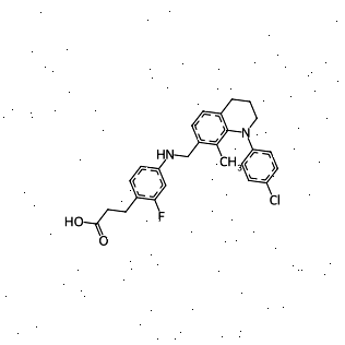 Cc1c(CNc2ccc(CCC(=O)O)c(F)c2)ccc2c1N(c1ccc(Cl)cc1)CCC2